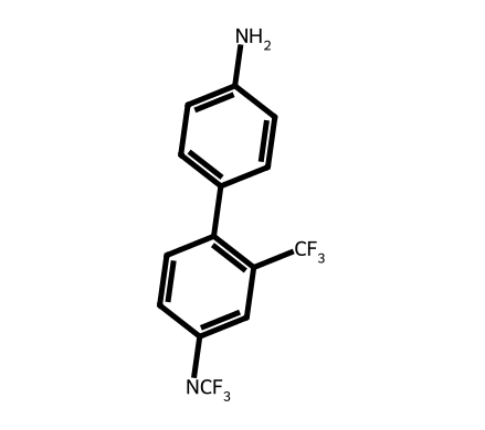 Nc1ccc(-c2ccc(NC(F)(F)F)cc2C(F)(F)F)cc1